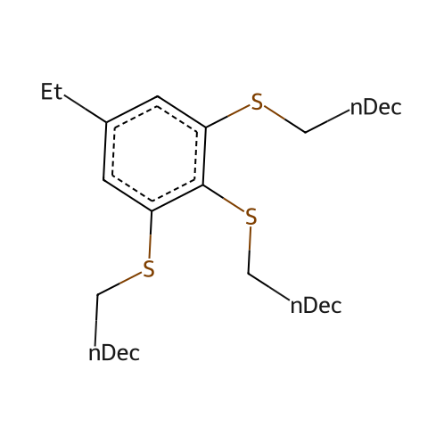 [CH2]Cc1cc(SCCCCCCCCCCC)c(SCCCCCCCCCCC)c(SCCCCCCCCCCC)c1